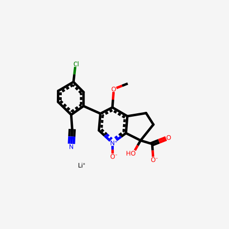 COc1c(-c2cc(Cl)ccc2C#N)c[n+]([O-])c2c1CCC2(O)C(=O)[O-].[Li+]